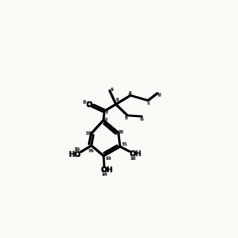 CCCC(C)(CC)C(=O)c1cc(O)c(O)c(O)c1